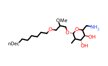 CCCCCCCCCCCCCCCCOCC(CO[C@@H]1OC(CN)[C@@H](O)[C@H](O)C1C)OC